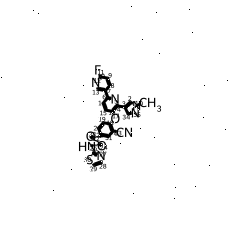 Cn1cc(-c2nc(-c3ccc(F)nc3)ccc2Oc2ccc(S(=O)(=O)Nc3nccs3)cc2C#N)cn1